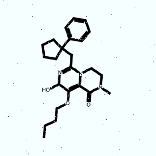 CCCCOC1=C2C(=O)N(C)CCN2C(CC2(c3ccccc3)CCCC2)=NC1O